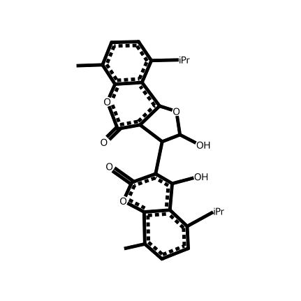 Cc1ccc(C(C)C)c2c(O)c(C3c4c(c5c(C(C)C)ccc(C)c5oc4=O)OC3O)c(=O)oc12